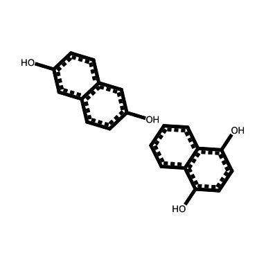 Oc1ccc(O)c2ccccc12.Oc1ccc2cc(O)ccc2c1